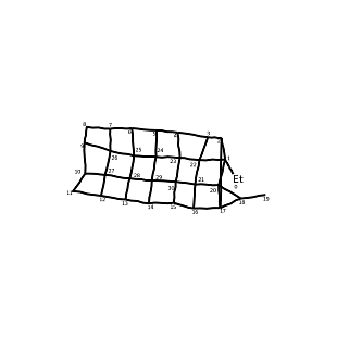 CCC12C3C4C5C6C7C8CC9C%10CC%11C%12C%13C%14C%15C3%16C(C)C%161C%151C42C52C63C74C98C%10%11C%124C%133C%1412